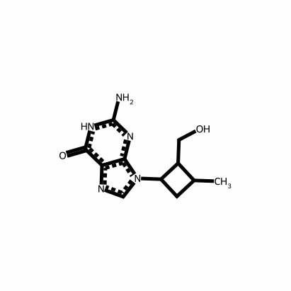 CC1CC(n2cnc3c(=O)[nH]c(N)nc32)C1CO